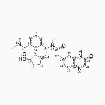 CN(C)C(=O)c1cccc([C@@H](CN2CCC(O)C2)N(C)C(=O)Cc2ccc3ncc(=O)[nH]c3c2)c1